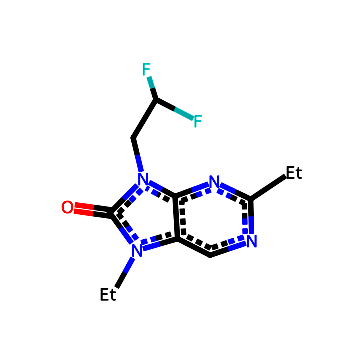 CCc1ncc2c(n1)n(CC(F)F)c(=O)n2CC